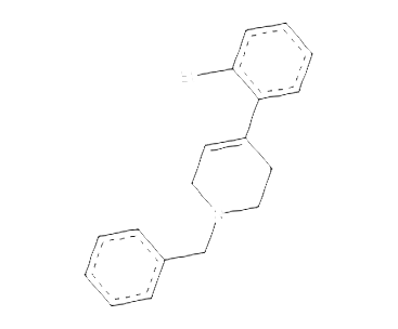 CCc1ccccc1C1=CCN(Cc2ccccc2)CC1